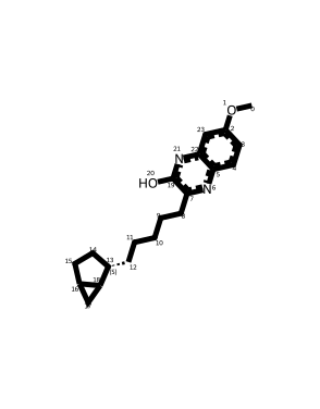 COc1ccc2nc(CCCCC[C@H]3CCC4CC43)c(O)nc2c1